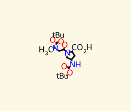 CN(CC(=O)N1CC(NC(=O)OC(C)(C)C)C[C@H]1C(=O)O)C(=O)OC(C)(C)C